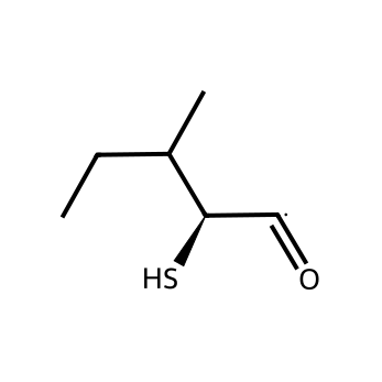 CCC(C)[C@H](S)[C]=O